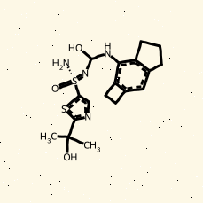 CC(C)(O)c1ncc([S@@](N)(=O)=NC(O)Nc2c3c(cc4c2CC4)CCC3)s1